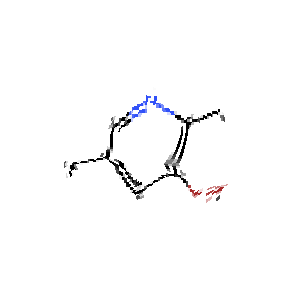 [CH2]c1cnc(C)c(Br)c1